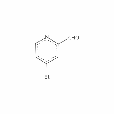 CCc1ccnc(C=O)c1